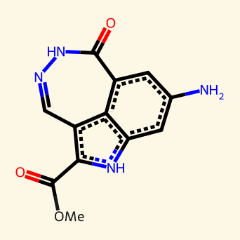 COC(=O)c1[nH]c2cc(N)cc3c2c1C=NNC3=O